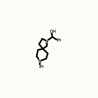 CC(C)C(O)N1CCC2(CCN(C(C)C)CC2)C1